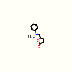 CN(CC1CCC(=O)O1)c1ccccc1